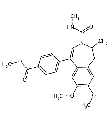 CNC(=O)N1C=C(c2ccc(C(=O)OC)cc2)c2cc(OC)c(OC)cc2CC1C